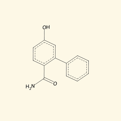 NC(=O)c1ccc(O)cc1-c1ccccc1